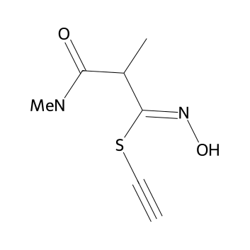 C#CSC(=NO)C(C)C(=O)NC